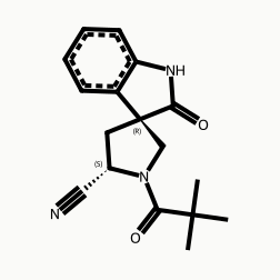 CC(C)(C)C(=O)N1C[C@]2(C[C@H]1C#N)C(=O)Nc1ccccc12